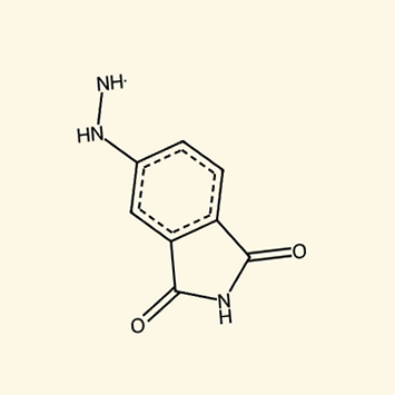 [NH]Nc1ccc2c(c1)C(=O)NC2=O